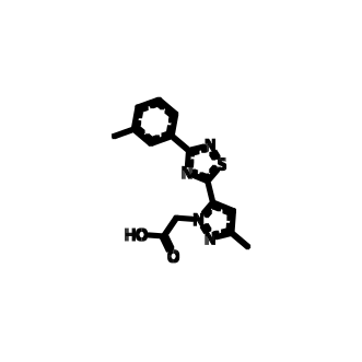 Cc1cccc(-c2nsc(-c3cc(C)nn3CC(=O)O)n2)c1